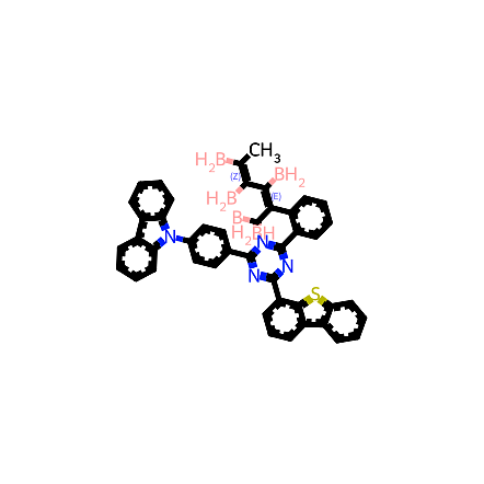 B=C(B)/C(=C(B)\C(B)=C(\B)C)c1ccccc1-c1nc(-c2ccc(-n3c4ccccc4c4ccccc43)cc2)nc(-c2cccc3c2sc2ccccc23)n1